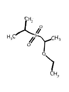 [CH2]C(C)S(=O)(=O)C(C)OCC